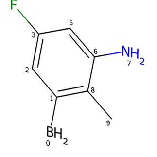 Bc1cc(F)cc(N)c1C